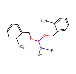 CC(C)N(C(C)C)P(OCc1ccccc1[N+](=O)[O-])OCc1ccccc1[N+](=O)[O-]